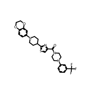 O=C(c1csc(C2CCN(c3ccc4c(c3)OCCO4)CC2)n1)N1CCN(c2cccc(C(F)(F)F)c2)CC1